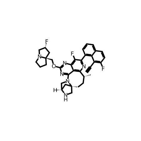 C#Cc1c(F)ccc2cccc(-c3nc4c5c(nc(OC[C@@]67CCCN6C[C@H](F)C7)nc5c3F)N3C[C@H]5C[C@]3(CC[C@H]4C)CN5)c12